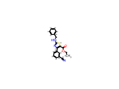 CCOC(=O)c1sc(NCc2ccccc2)nc1-c1cccc(C#N)c1